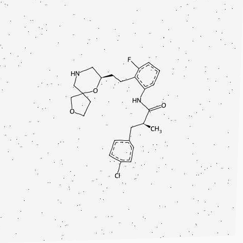 C[C@@H](Cc1ccc(Cl)cc1)C(=O)Nc1cccc(F)c1CC[C@@H]1CNCC2(CCOC2)O1